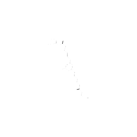 CCCCCCCCCCCOC(=O)CCCCCN(CCCCCCCC(=O)OC(CCCCCCCC)CCCCCCCC)CC(O)O